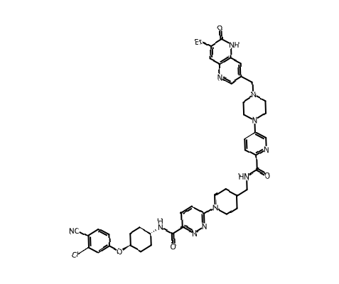 CCc1cc2ncc(CN3CCN(c4ccc(C(=O)NCC5CCN(c6ccc(C(=O)N[C@H]7CC[C@H](Oc8ccc(C#N)c(Cl)c8)CC7)nn6)CC5)nc4)CC3)cc2[nH]c1=O